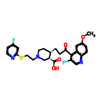 COc1ccc2ncc(F)c(C(=O)CC[C@H]3CCN(CCSc4cc(F)ccn4)C[C@H]3C(=O)O)c2c1